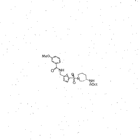 CCCCCCCCNC1CCCN(S(=O)(=O)c2ccc(CNC(=O)c3cccc(OC)c3)s2)CC1